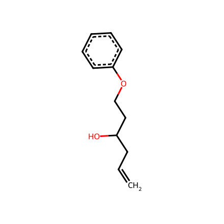 C=CCC(O)CCOc1ccccc1